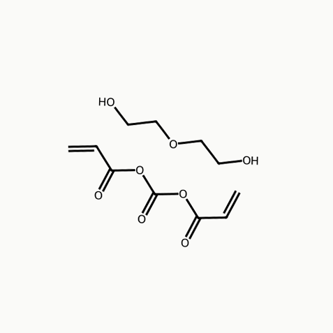 C=CC(=O)OC(=O)OC(=O)C=C.OCCOCCO